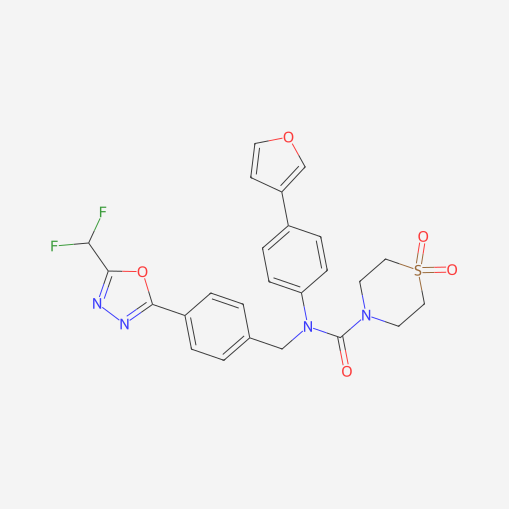 O=C(N1CCS(=O)(=O)CC1)N(Cc1ccc(-c2nnc(C(F)F)o2)cc1)c1ccc(-c2ccoc2)cc1